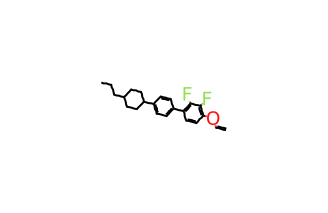 C=COc1ccc(-c2ccc(C3CCC(CCC)CC3)cc2)c(F)c1F